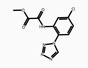 COC(=O)C(=O)Nc1cc(Cl)ccc1-n1cnnn1